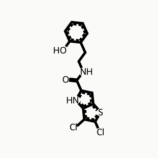 O=C(NCCc1ccccc1O)c1cc2sc(Cl)c(Cl)c2[nH]1